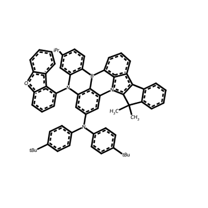 CC(C)c1ccc2c(c1)N(c1cccc3oc4ccccc4c13)c1cc(N(c3ccc(C(C)(C)C)cc3)c3ccc(C(C)(C)C)cc3)cc3c1B2c1cccc2c4c(n-3c12)C(C)(C)c1ccccc1-4